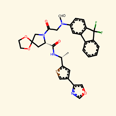 C[C@@H](NC(=O)[C@@H]1CC2(CN1C(=O)CN(C=O)c1ccc3c(c1)-c1ccccc1C3(F)F)OCCO2)c1cc(-c2cocn2)cs1